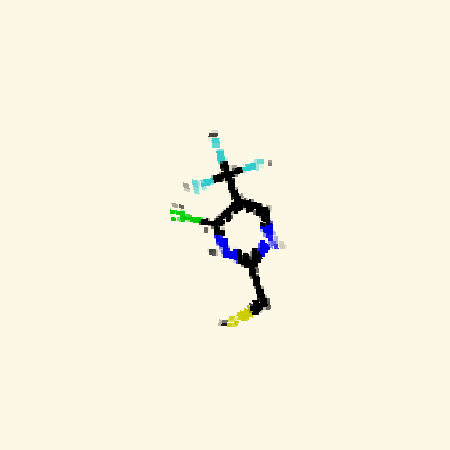 FC(F)(F)c1cnc(C=S)nc1Cl